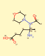 CC(=O)N(N1CCOCC1)[C@](C)(N)CCCC(=O)O